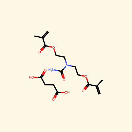 C=C(C)C(=O)OCCN(CCOC(=O)C(=C)C)C(N)=O.O=C(O)CCC(=O)O